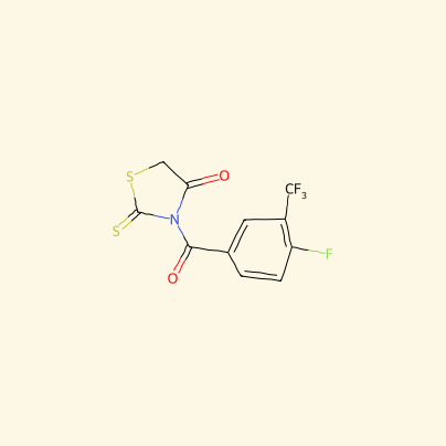 O=C1CSC(=S)N1C(=O)c1ccc(F)c(C(F)(F)F)c1